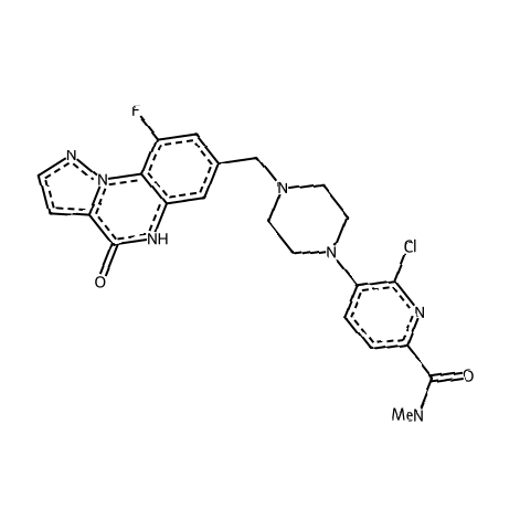 CNC(=O)c1ccc(N2CCN(Cc3cc(F)c4c(c3)[nH]c(=O)c3ccnn34)CC2)c(Cl)n1